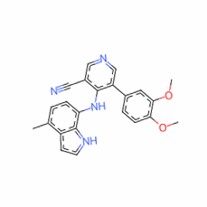 COc1ccc(-c2cncc(C#N)c2Nc2ccc(C)c3cc[nH]c23)cc1OC